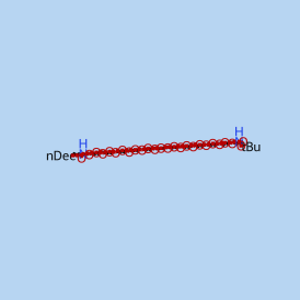 CCCCCCCCCCCCCC(=O)NCCOCCOCCOCCOCCOCCOCCOCCOCCOCCOCCOCCOCCOCCOCCOCCOCCOCCOCCOCCOCCOCCOCCOCCNC(=O)OC(C)(C)C